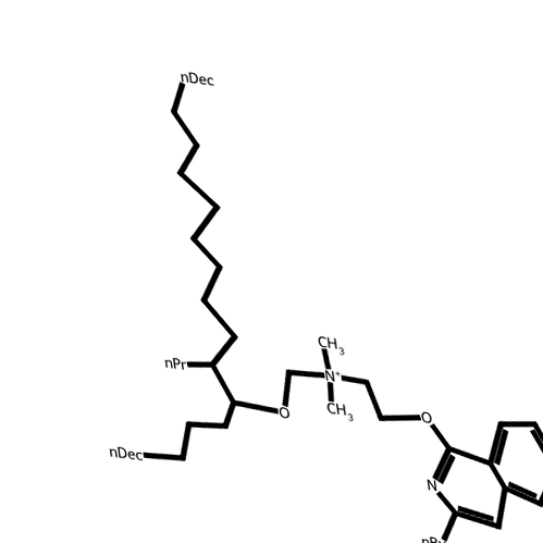 CCCCCCCCCCCCCCCCCCC(CCC)C(CCCCCCCCCCCCC)OC[N+](C)(C)CCOc1nc(CCCC)cc2ccccc12